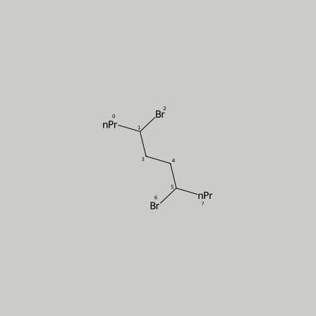 CCCC(Br)CCC(Br)CCC